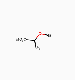 CCOC(=O)C(OCC)C(F)(F)F